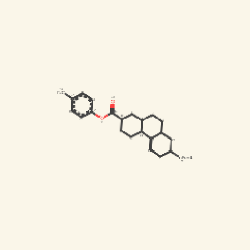 CCCCCC1CCC2C(CCC3CC(C(=O)Oc4ccc(C#N)cc4)CCC32)C1